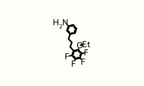 CCOc1c(F)c(F)c(F)c(F)c1CCCc1cccc(N)c1